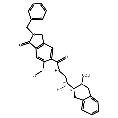 CCOc1cc2c(cc1C(=O)NC[C@@H](O)[C@@H]1Cc3ccccc3CN1C(=O)O)CN(Cc1ccccc1)C2=O